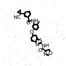 Cc1ccc(Oc2ccc3nc(NC(=O)c4cocn4)sc3c2)cc1NC(=O)c1cccc(C2(C#N)CC2)c1